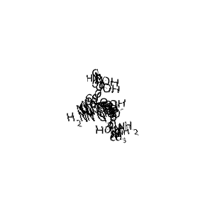 COCC[C@H]1[C@@H](O)[C@H](n2c[n+](C)c3c(=O)[nH]c(N)nc32)O[C@@H]1COP(=O)([O-])OP(=O)(O)OP(=O)(O)OCC1O[C@@H](n2cnc3c(N)ncnc32)[C@H](OC)[C@@H]1SCOC[C@H]1O[C@@H](n2ccc(=O)[nH]c2=O)[C@H](O)[C@@H]1O